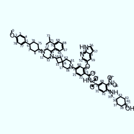 COc1ccc(C2CCC(N3CCN(C4CC5(CCN(c6ccc(C(=O)NS(=O)(=O)c7ccc(NC[C@H]8CC[C@](C)(O)CC8)c([N+](=O)[O-])c7)c(Oc7cnc8[nH]ccc8c7)c6)CC5)C4)C(c4ccccc4C(C)C)C3)CC2)cc1